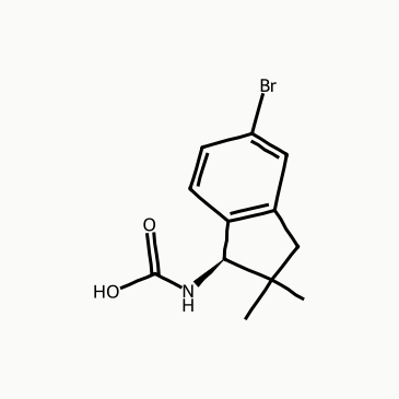 CC1(C)Cc2cc(Br)ccc2[C@@H]1NC(=O)O